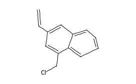 C=Cc1cc(CCl)c2ccccc2c1